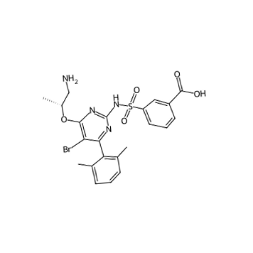 Cc1cccc(C)c1-c1nc(NS(=O)(=O)c2cccc(C(=O)O)c2)nc(O[C@H](C)CN)c1Br